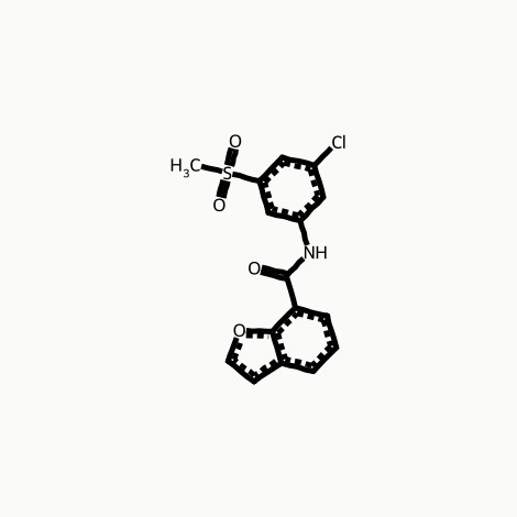 CS(=O)(=O)c1cc(Cl)cc(NC(=O)c2cccc3ccoc23)c1